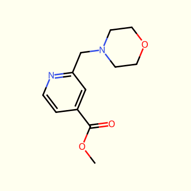 COC(=O)c1ccnc(CN2CCOCC2)c1